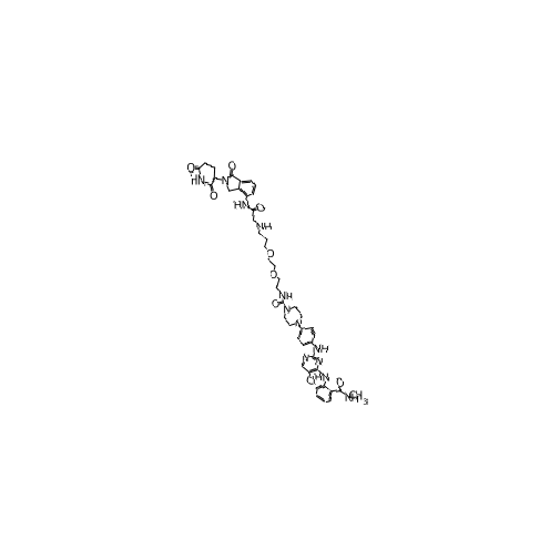 CNC(=O)c1ccccc1Nc1nc(Nc2ccc(N3CCN(C(=O)NCCOCCOCCCNCC(=O)Nc4cccc5c4CN(C4CCC(=O)NC4=O)C5=O)CC3)cc2)ncc1Cl